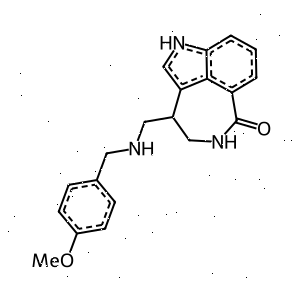 COc1ccc(CNCC2CNC(=O)c3cccc4[nH]cc2c34)cc1